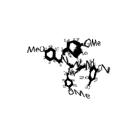 COc1ccc(CN(Cc2ccc(OC)cc2)c2nc(Nc3cc(C)cc(C#N)c3)nn2Cc2ccc(OC)cc2)cc1